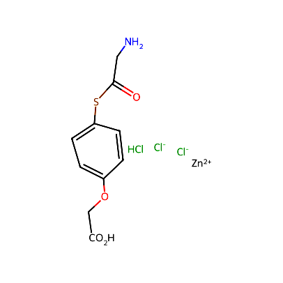 Cl.NCC(=O)Sc1ccc(OCC(=O)O)cc1.[Cl-].[Cl-].[Zn+2]